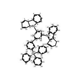 C1=CC2c3ccccc3N(c3nc(-c4cccc([Si](c5ccccc5)(c5ccccc5)c5ccccc5)c4)nc(-n4c5c(c6ccccc64)CCC=C5)n3)C2C=C1